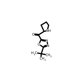 CC(C)(C)c1nnc(C(=O)C2CCCN2)o1